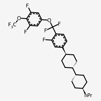 CCC[C@H]1CC[C@H]([C@H]2CC[C@H](c3ccc(C(F)(F)Oc4cc(F)c(OC(F)(F)F)c(F)c4)c(F)c3)CC2)CC1